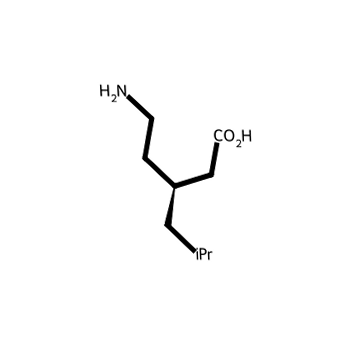 CC(C)C[C@@H](CCN)CC(=O)O